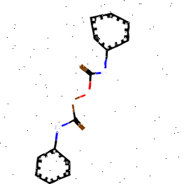 S=C(Nc1ccccc1)OSC(=S)Nc1ccccc1